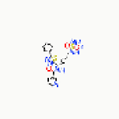 NS(=O)(=O)NCCCCC(NC(=O)c1cccnc1)c1nnc(-c2ccccc2)s1